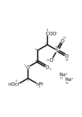 CCCCCCCCC(CCC)OC(=O)CC(C(=O)[O-])S(=O)(=O)[O-].[Na+].[Na+]